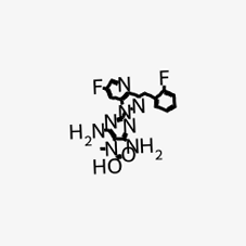 CN(C(=O)O)c1c(N)nc(-n2nc(Cc3ccccc3F)c3ncc(F)cc32)nc1N